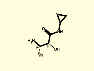 CCC[C@H](N)[C@@H](O)C(=O)NC1CC1